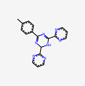 Cc1ccc(C2=NC(c3ncccn3)NC(c3ncccn3)=N2)cc1